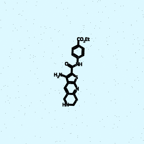 CCOC(=O)c1ccc(NC(=O)c2sc3nc4c(cc3c2N)CNCC4)cc1